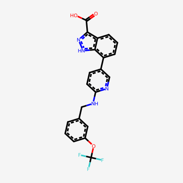 O=C(O)c1n[nH]c2c(-c3ccc(NCc4cccc(OC(F)(F)F)c4)nc3)cccc12